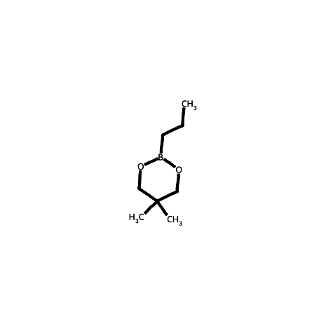 CCCB1OCC(C)(C)CO1